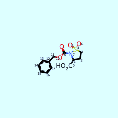 O=C(O)C1CCS(=O)(=O)N1C(=O)OCc1ccccc1